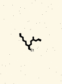 C=CCCCCC(=CCC)CCC(C)CC=C